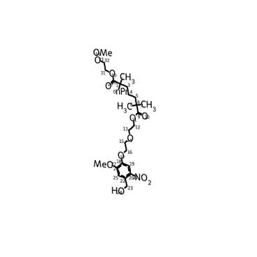 CCCC(C)(CCCC(C)(C)C(=O)OCCOCCOc1cc([N+](=O)[O-])c(CO)cc1OC)C(=O)OCCOOC